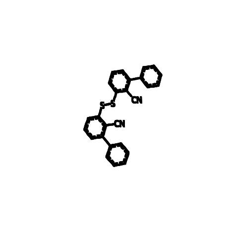 N#Cc1c(SSc2cccc(-c3ccccc3)c2C#N)cccc1-c1ccccc1